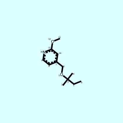 CCC(C)(C)OCc1ccnc(OC)c1